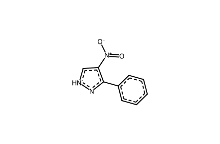 O=[N+]([O-])c1c[nH]nc1-c1ccccc1